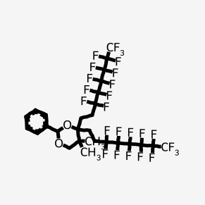 CC1(C)COC(c2ccccc2)OC1(CCC(F)(F)C(F)(F)C(F)(F)C(F)(F)C(F)(F)C(F)(F)F)CCC(F)(F)C(F)(F)C(F)(F)C(F)(F)C(F)(F)C(F)(F)F